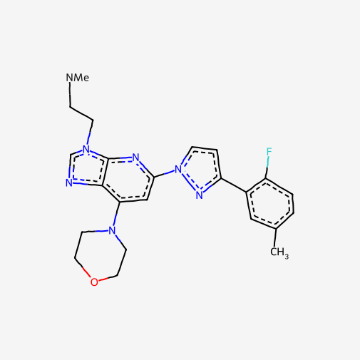 CNCCn1cnc2c(N3CCOCC3)cc(-n3ccc(-c4cc(C)ccc4F)n3)nc21